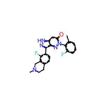 Cc1cccc(F)c1-n1nc2c(-c3ccc4c(c3F)CN(C)CC4)n[nH]c2cc1=O